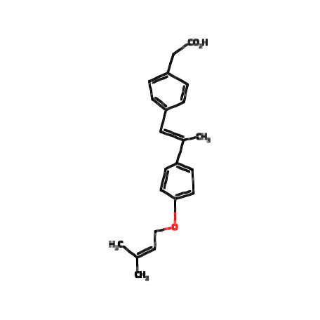 CC(C)=CCOc1ccc(C(C)=Cc2ccc(CC(=O)O)cc2)cc1